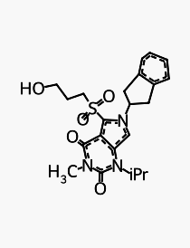 CC(C)n1c(=O)n(C)c(=O)c2c(S(=O)(=O)CCCO)n(C3Cc4ccccc4C3)cc21